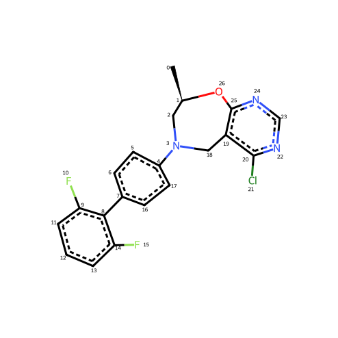 C[C@@H]1CN(c2ccc(-c3c(F)cccc3F)cc2)Cc2c(Cl)ncnc2O1